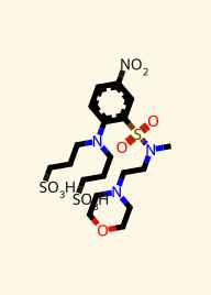 CN(CCN1CCOCC1)S(=O)(=O)c1cc([N+](=O)[O-])ccc1N(CCCS(=O)(=O)O)CCCS(=O)(=O)O